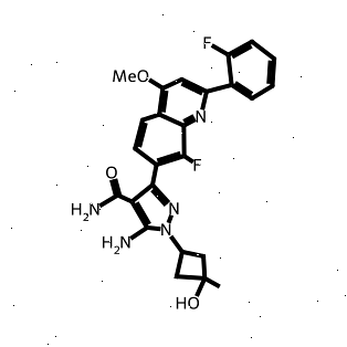 COc1cc(-c2ccccc2F)nc2c(F)c(-c3nn(C4CC(C)(O)C4)c(N)c3C(N)=O)ccc12